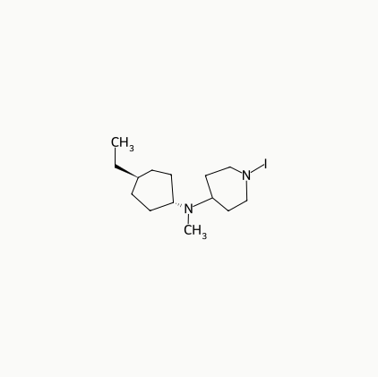 CC[C@H]1CC[C@H](N(C)C2CCN(I)CC2)CC1